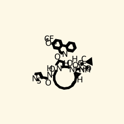 CC1(S(=O)(=O)NC(=O)[C@@]23C[C@H]2/C=C\CCCCC[C@H](NC(=O)c2ccns2)C(=O)N2C[C@H](Oc4nc5ccccc5c5ccc(OC(F)(F)F)cc45)C[C@H]2C(=O)N3)CC1